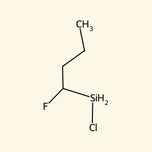 CCCC(F)[SiH2]Cl